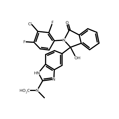 CN(C(=O)O)c1nc2cc(C3(O)c4ccccc4C(=O)N3c3ccc(F)c(Cl)c3F)ccc2[nH]1